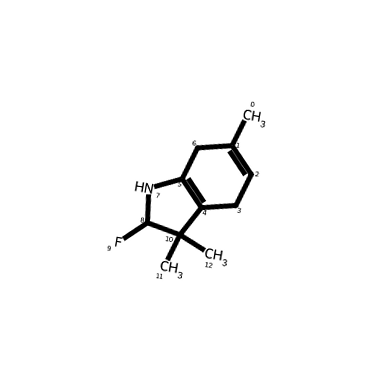 CC1=CCC2=C(C1)NC(F)C2(C)C